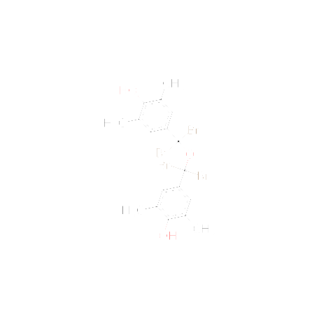 Cc1cc(C(Br)(Br)OC(Br)(Br)c2cc(C)c(O)c(C)c2)cc(C)c1O